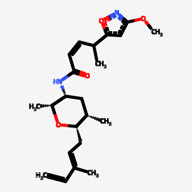 C=C/C(C)=C/C[C@@H]1O[C@H](C)[C@H](NC(=O)/C=C\C(C)c2cc(OC)no2)C[C@@H]1C